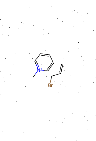 C=CCBr.C[n+]1ccccc1